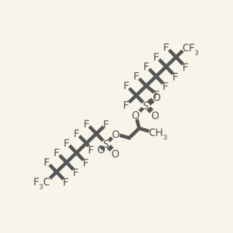 CC(COS(=O)(=O)C(F)(F)C(F)(F)C(F)(F)C(F)(F)C(F)(F)C(F)(F)F)OS(=O)(=O)C(F)(F)C(F)(F)C(F)(F)C(F)(F)C(F)(F)C(F)(F)F